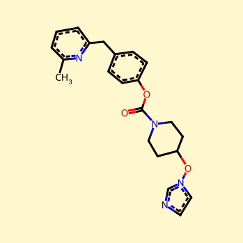 Cc1cccc(Cc2ccc(OC(=O)N3CCC(On4ccnc4)CC3)cc2)n1